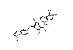 CCN1Cc2c(ccnc2N[C@@H](C)c2cc(F)c(Oc3ccc4c(ccn4C)c3)cc2F)C1=O